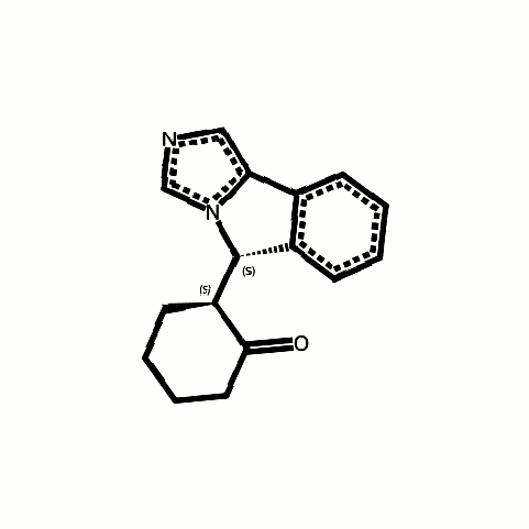 O=C1CCCC[C@H]1[C@H]1c2ccccc2-c2cncn21